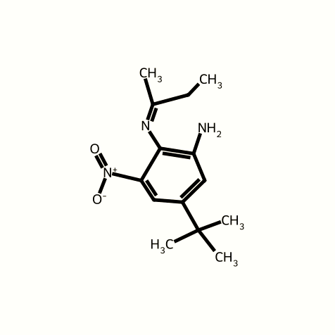 CCC(C)=Nc1c(N)cc(C(C)(C)C)cc1[N+](=O)[O-]